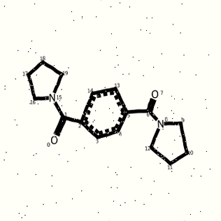 O=C(c1ccc(C(=O)N2CCCC2)cc1)N1CCCC1